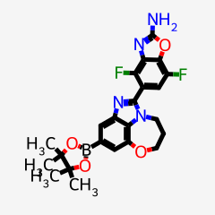 CC1(C)OB(c2cc3c4c(c2)nc(-c2cc(F)c5oc(N)nc5c2F)n4CCCO3)OC1(C)C